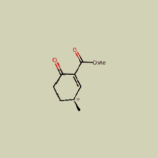 COC(=O)C1=C[C@@H](C)CCC1=O